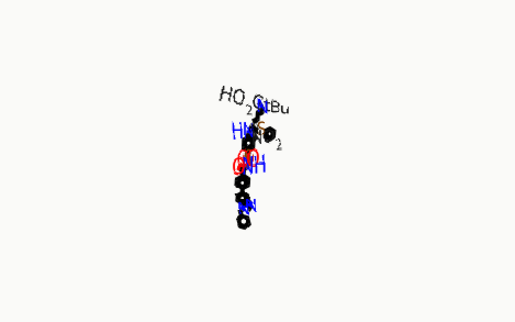 CC(C)(C)N(CCCC[C@H](CSc1ccccc1)Nc1ccc(S(=O)(=O)NC(=O)c2ccc(-c3ccc4c(c3)ncn4CC3CCCCC3)cc2)cc1[N+](=O)[O-])C(=O)O